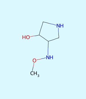 CONC1CNCC1O